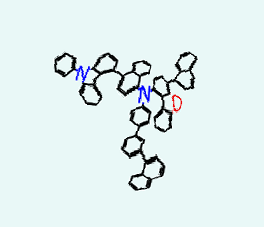 c1ccc(-n2c3ccccc3c3c(-c4ccc(N(c5ccc(-c6cccc(-c7cccc8ccccc78)c6)cc5)c5ccc(-c6cccc7ccccc67)c6oc7ccccc7c56)c5ccccc45)cccc32)cc1